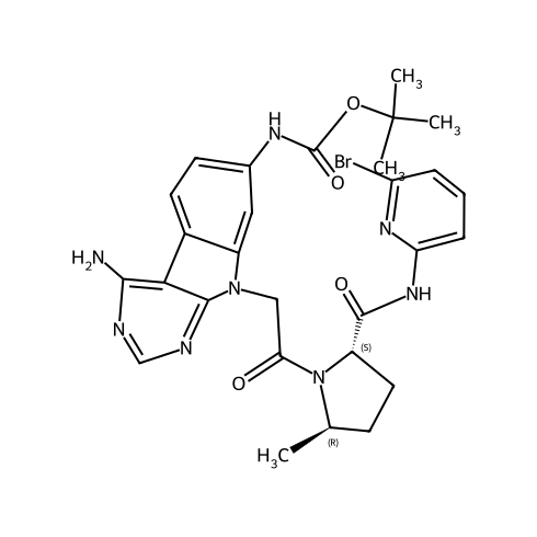 C[C@@H]1CC[C@@H](C(=O)Nc2cccc(Br)n2)N1C(=O)Cn1c2cc(NC(=O)OC(C)(C)C)ccc2c2c(N)ncnc21